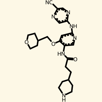 N#Cc1cnc(Nc2cc(OCC3CCOCC3)c(NC(=O)CCC3CCNCC3)cn2)cn1